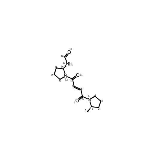 C[C@@H]1CCCN1C(=O)/C=C/C(=O)N1CCC[C@H]1NC=O